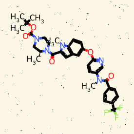 C[C@@H]1CN(C(=O)OC(C)(C)C)CCN1C(=O)c1cc2cc(Oc3ccc(N(C)C(=O)c4ccc(C(F)(F)F)cc4)cn3)ccc2n1C